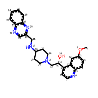 COc1ccc2nccc([C@@H](O)CN3CCC(NCc4cnc5ccccc5n4)CC3)c2c1